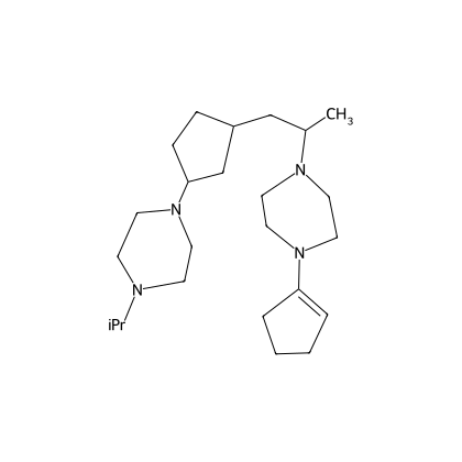 CC(C)N1CCN(C2CCC(CC(C)N3CCN(C4=CCCC4)CC3)C2)CC1